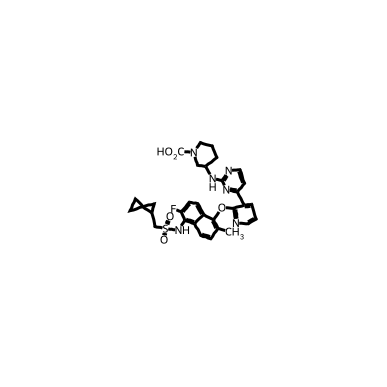 Cc1ccc2c(NS(=O)(=O)CC3CC34CC4)c(F)ccc2c1Oc1ncccc1-c1ccnc(NC2CCCN(C(=O)O)C2)n1